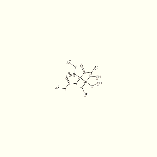 CC(=O)CC(=O)CC(C(=O)CC(C)=O)(C(=O)CC(C)=O)C(CO)(CO)CO